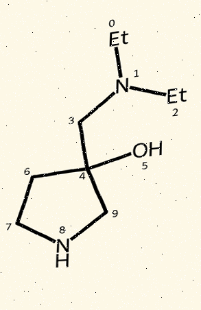 CCN(CC)CC1(O)CCNC1